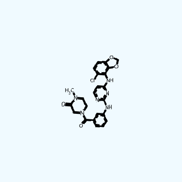 CN1CCN(C(=O)c2cccc(Nc3nccc(Nc4c(Cl)ccc5c4OCO5)n3)c2)CC1=O